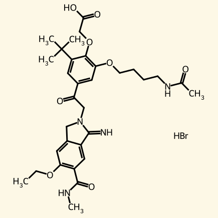 Br.CCOc1cc2c(cc1C(=O)NC)C(=N)N(CC(=O)c1cc(OCCCCNC(C)=O)c(OCC(=O)O)c(C(C)(C)C)c1)C2